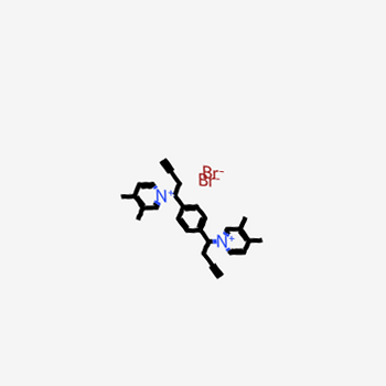 C#CCC(c1ccc(C(CC#C)[n+]2ccc(C)c(C)c2)cc1)[n+]1ccc(C)c(C)c1.[Br-].[Br-]